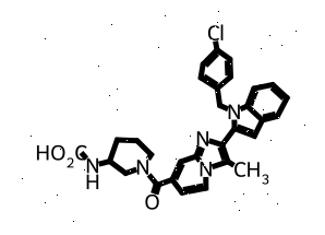 Cc1c(-c2cc3ccccc3n2Cc2ccc(Cl)cc2)nc2cc(C(=O)N3CCCC(NC(=O)O)C3)ccn12